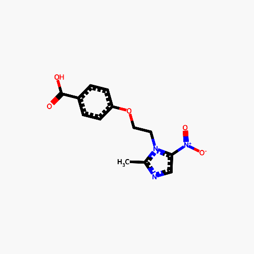 Cc1ncc([N+](=O)[O-])n1CCOc1ccc(C(=O)O)cc1